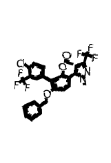 CC(=O)Oc1c(-c2cc(C(F)(F)F)nn2C)ccc(OCc2ccccc2)c1-c1ccc(Cl)c(C(F)(F)F)c1